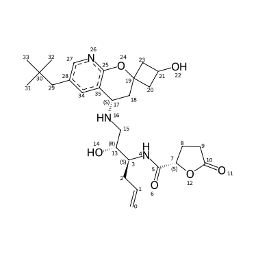 C=CC[C@H](NC(=O)[C@@H]1CCC(=O)O1)[C@H](O)CN[C@H]1CC2(CC(O)C2)Oc2ncc(CC(C)(C)C)cc21